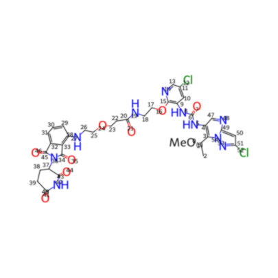 CO[C@@H](C)c1c(NC(=O)Nc2cc(Cl)cnc2OCCNC(=O)CCOCCNc2cccc3c2C(=O)N(C2CCC(=O)NC2=O)C3=O)cnc2cc(Cl)nn12